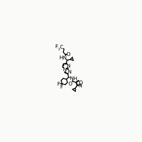 O=C(CCC(F)(F)F)NC(c1ccn2cc([C@@H](NC(=O)c3conc3C3CC3)C3CCC(F)(F)CC3)nc2n1)C1CC1